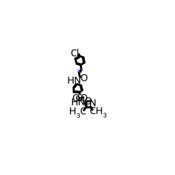 Cc1noc(NS(=O)(=O)c2ccc(NC(=O)/C=C/c3ccc(Cl)cc3)cc2)c1C